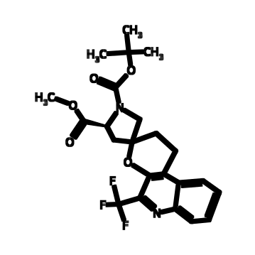 COC(=O)[C@@H]1CC2(CCc3c(c(C(F)(F)F)nc4ccccc34)O2)CN1C(=O)OC(C)(C)C